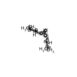 C=C(C)C(=O)OCCNC(=O)OCCc1ccc(N(c2ccccc2)c2ccc(CCOC(=O)NCCOC(=O)C(=C)C)cc2)cc1